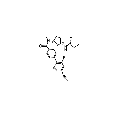 CCC(=O)N[C@H]1CC[C@@H](N(C)C(=O)c2ccc(-c3ccc(C#N)cc3F)cc2)C1